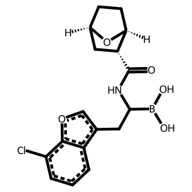 O=C(NC(Cc1coc2c(Cl)cccc12)B(O)O)[C@@H]1C[C@H]2CC[C@@H]1O2